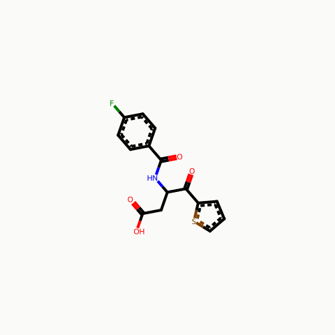 O=C(O)CC(NC(=O)c1ccc(F)cc1)C(=O)c1cccs1